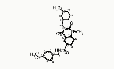 COc1ccc(CNC(=O)c2ccc3c(c2)c(=O)n(CC2CCCN(C)C2)c(=O)n3C)cc1